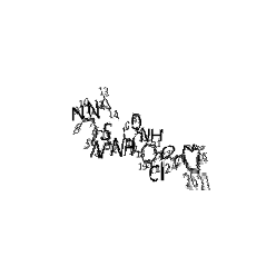 C[C@H](Nc1ncc(-c2cncn2C2CC2)s1)c1cc2cc(Cl)c(OCc3ccccn3)cc2[nH]c1=O